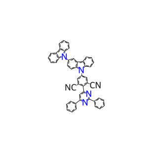 N#Cc1cc(-n2c3ccccc3c3cc(-n4c5ccccc5c5ccccc54)ccc32)cc(C#N)c1-c1cc(-c2ccccc2)nc(-c2ccccc2)n1